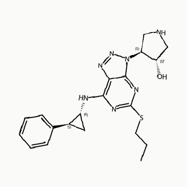 CCCSc1nc(N[C@@H]2C[C@H]2c2ccccc2)c2nnn([C@H]3CNC[C@@H]3O)c2n1